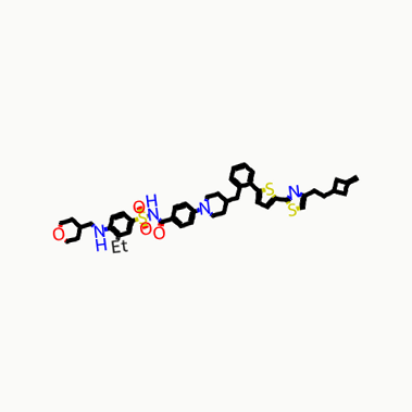 C=C1CC(CCc2csc(-c3ccc(-c4ccccc4CC4CCN(c5ccc(C(=O)NS(=O)(=O)c6ccc(NCC7CCOCC7)c(CC)c6)cc5)CC4)s3)n2)C1